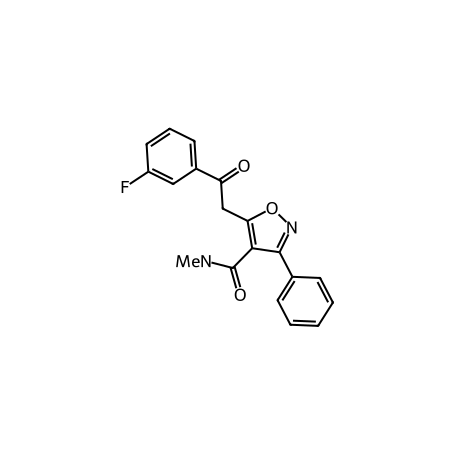 CNC(=O)c1c(-c2ccccc2)noc1CC(=O)c1cccc(F)c1